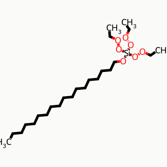 CCCCCCCCCCCCCCCCCCO[Si](OOCC)(OOCC)OOCC